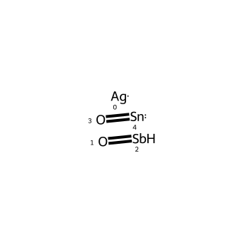 [Ag].[O]=[SbH].[O]=[Sn]